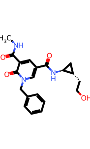 CNC(=O)c1cc(C(=O)N[C@H]2C[C@@H]2CCO)cn(Cc2ccccc2)c1=O